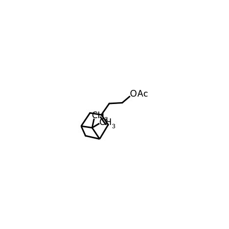 CC(=O)OCCC1=CC2CC(C1)C2(C)C